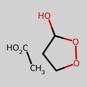 CC(=O)O.OC1CCOO1